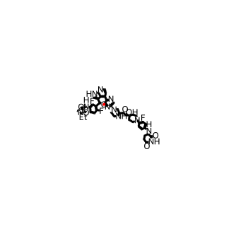 CCN(C)S(=O)(=O)Nc1ccc(F)c(C(=O)c2c[nH]c3nccc(-c4cnc(N5CCNC(C(=O)CC6(O)CCN(c7ccc(NC8CCC(=O)NC8=O)cc7F)CC6)C5)cn4)c23)c1F